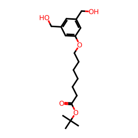 CC(C)(C)OC(=O)CCCCCCOc1cc(CO)cc(CO)c1